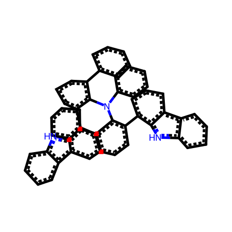 c1ccc(-c2cccc(-c3cccc4c3[nH]c3ccccc34)c2N(c2ccccc2)c2c(-c3ccccc3)cccc2-c2cccc3c2[nH]c2ccccc23)cc1